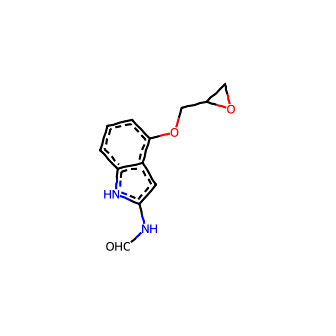 O=CNc1cc2c(OCC3CO3)cccc2[nH]1